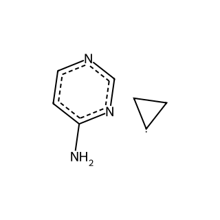 Nc1ccncn1.[CH]1CC1